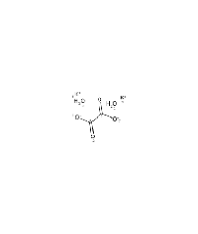 O.O.O=C([O-])C(=O)[O-].[K+].[K+]